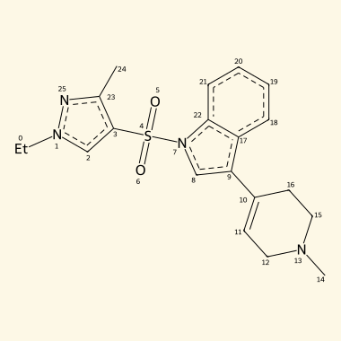 CCn1cc(S(=O)(=O)n2cc(C3=CCN(C)CC3)c3ccccc32)c(C)n1